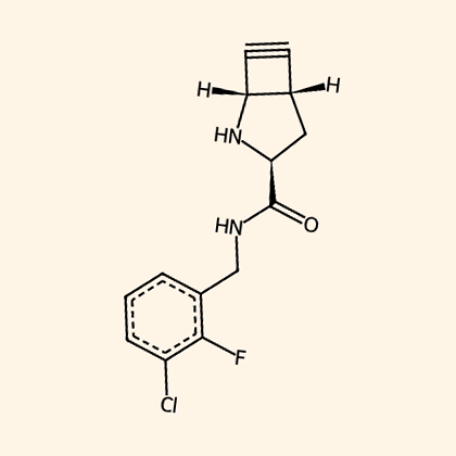 O=C(NCc1cccc(Cl)c1F)[C@@H]1C[C@H]2C#C[C@H]2N1